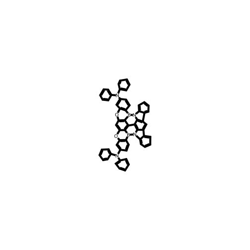 c1ccc(N(c2ccccc2)c2ccc3c(c2)Oc2cc4c5c6c2B3n2c3ccccc3c3cc7c8ccccc8n(c7c-6c32)B5c2ccc(N(c3ccccc3)c3ccccc3)cc2O4)cc1